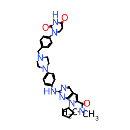 CN(C)C(=O)c1cc2cnc(Nc3ccc(N4CCN(Cc5ccc(N6CCC(=O)NC6=O)cc5)CC4)cc3)nc2n1C1CCCC1